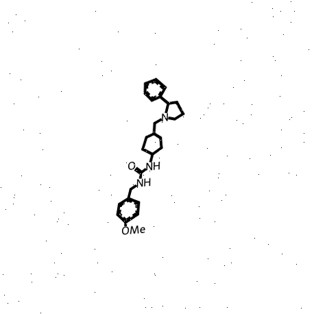 COc1ccc(CNC(=O)NC2CCC(CN3CCCC3c3ccccc3)CC2)cc1